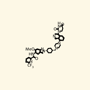 COc1cc2nn([C@H]3CC[C@H](CN4CCN(c5cccc6c(N7CCC(=O)NC7=O)cncc56)CC4)CC3)cc2cc1NC(=O)c1cccc(C(F)(F)F)n1